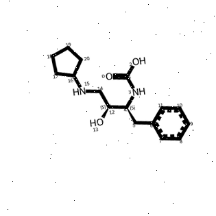 O=C(O)N[C@@H](Cc1ccccc1)[C@@H](O)CNC1CCCC1